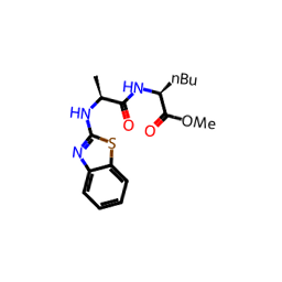 CCCC[C@H](NC(=O)[C@H](C)Nc1nc2ccccc2s1)C(=O)OC